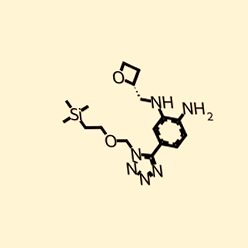 C[Si](C)(C)CCOCn1nnnc1-c1ccc(N)c(NC[C@H]2CCO2)c1